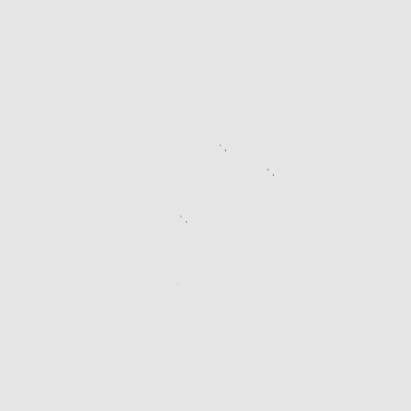 C=CC(=O)N1CCn2cc(C)nc2C1